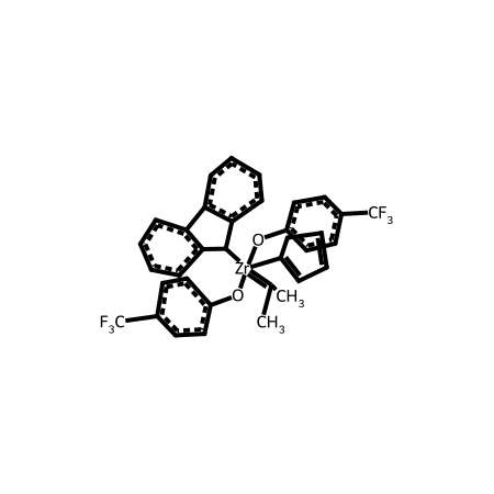 C[C](C)=[Zr]([O]c1ccc(C(F)(F)F)cc1)([O]c1ccc(C(F)(F)F)cc1)([C]1=CC=CC1)[CH]1c2ccccc2-c2ccccc21